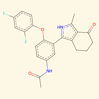 CC(=O)Nc1ccc(Oc2ccc(F)cc2F)c(-c2[nH]c(C)c3c2CCCC3=O)c1